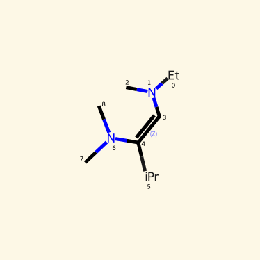 CCN(C)/C=C(/C(C)C)N(C)C